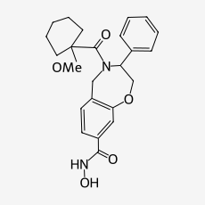 COC1(C(=O)N2Cc3ccc(C(=O)NO)cc3OCC2c2ccccc2)CCCCC1